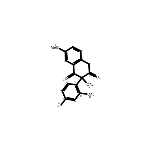 COc1ccc2c(c1)C(=O)C(OC(C)=O)(c1ccc(C(C)C)cc1OC(C)=O)C(=O)C2